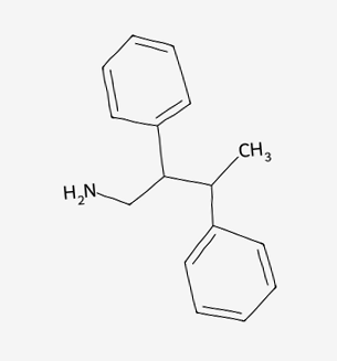 CC(c1ccccc1)C(CN)c1ccccc1